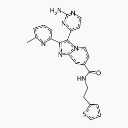 Cc1cccc(-c2nc3cc(C(=O)NCCc4cccs4)ccn3c2-c2ccnc(N)n2)n1